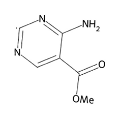 COC(=O)c1cn[c]nc1N